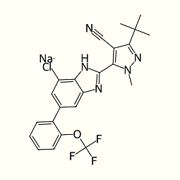 Cn1nc(C(C)(C)C)c(C#N)c1-c1nc2cc(-c3ccccc3OC(F)(F)F)cc(Cl)c2[nH]1.[Na]